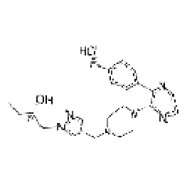 CC[C@H](O)Cn1cc(CN2CCN(c3nccnc3-c3ccc(F)cc3)CC2)cn1.Cl